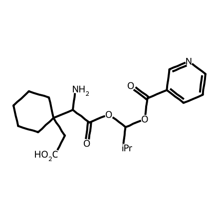 CC(C)C(OC(=O)c1cccnc1)OC(=O)C(N)C1(CC(=O)O)CCCCC1